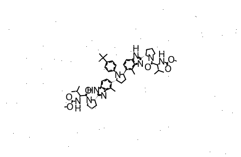 COC(=O)N[C@H](C(=O)N1CCC[C@H]1c1nc2c(C)c([C@H]3CC[C@H](c4ccc5[nH]c([C@@H]6CCCN6C(=O)[C@@H](NC(=O)OC)C(C)C)nc5c4C)N3c3ccc(C(C)(C)C)cc3)ccc2[nH]1)C(C)C